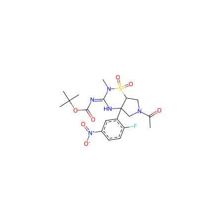 CC(=O)N1CC2C(c3cc([N+](=O)[O-])ccc3F)(C1)N/C(=N\C(=O)OC(C)(C)C)N(C)S2(=O)=O